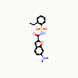 CCc1ccccc1S(=O)(=O)NC(=O)c1cc2ccc(N(C)C)cc2o1